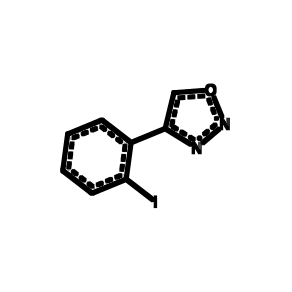 Ic1ccccc1-c1conn1